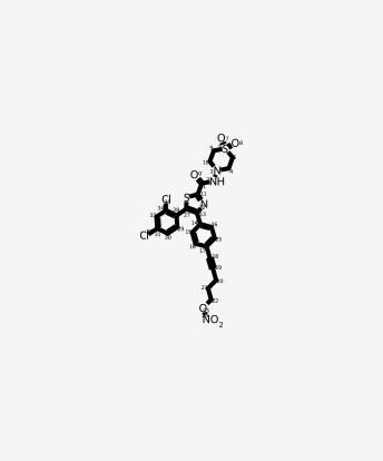 O=C(NN1CCS(=O)(=O)CC1)c1nc(-c2ccc(C#CCCCO[N+](=O)[O-])cc2)c(-c2ccc(Cl)cc2Cl)s1